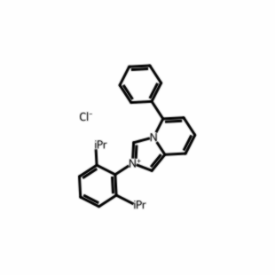 CC(C)c1cccc(C(C)C)c1-[n+]1cc2cccc(-c3ccccc3)n2c1.[Cl-]